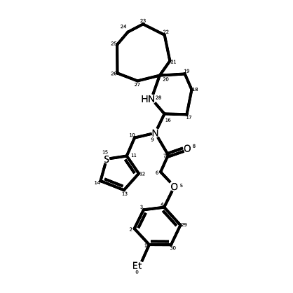 CCc1ccc(OCC(=O)N(Cc2cccs2)C2CCCC3(CCCCCCC3)N2)cc1